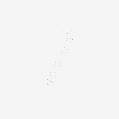 Cc1nc(C(N)=O)nn1-c1ccc(C(C)(C)c2ccc(-c3ccc(S(=O)(=O)N(C)C)cc3)cc2)cc1